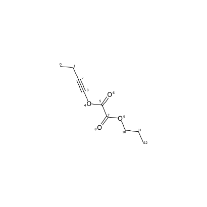 CCC#COC(=O)C(=O)OCCC